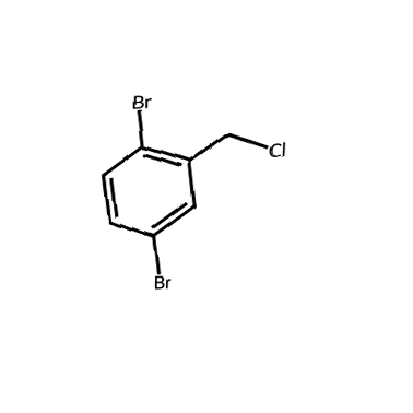 ClCc1cc(Br)ccc1Br